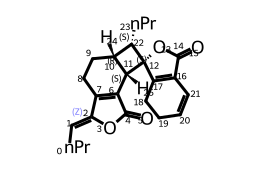 CCC/C=C1\OC(=O)C2=C1CC[C@H]1[C@@H]2[C@@]2(OC(=O)C3=C2CCC=C3)[C@H]1CCC